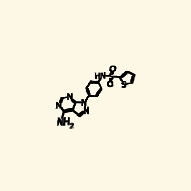 Nc1ncnc2c1cnn2-c1ccc(NS(=O)(=O)c2cccs2)cc1